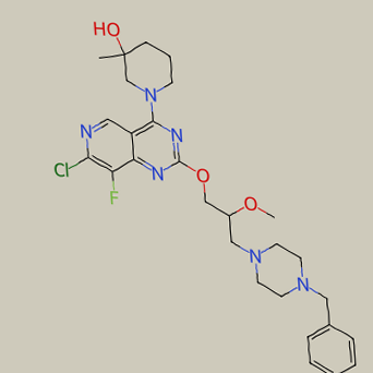 COC(COc1nc(N2CCCC(C)(O)C2)c2cnc(Cl)c(F)c2n1)CN1CCN(Cc2ccccc2)CC1